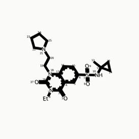 CCn1c(=O)c2cc(S(=O)(=O)NC3(C)CC3)ccc2n(CCN2CCCC2)c1=O